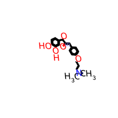 CN(C)CCCOc1ccc(/C=C2\Oc3c(ccc(O)c3O)C2=O)cc1